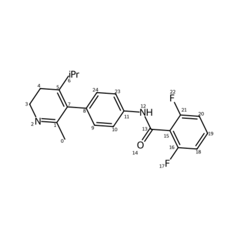 CC1=NCCC(C(C)C)=C1c1ccc(NC(=O)c2c(F)cccc2F)cc1